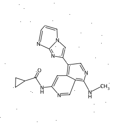 CNc1ncc(-c2cn3cccnc3n2)c2cc(NC(=O)C3CC3)ncc12